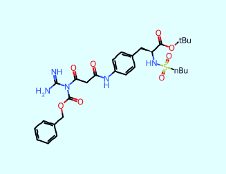 CCCCS(=O)(=O)N[C@@H](Cc1ccc(NC(=O)CC(=O)N(C(=N)N)C(=O)OCc2ccccc2)cc1)C(=O)OC(C)(C)C